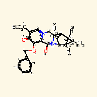 CCOC(=O)c1cn2c(c(OCc3ccccc3)c1=O)C(=O)N1C3CC([C@@H]4[C@H](C)[C@H]34)[C@@H]1C2